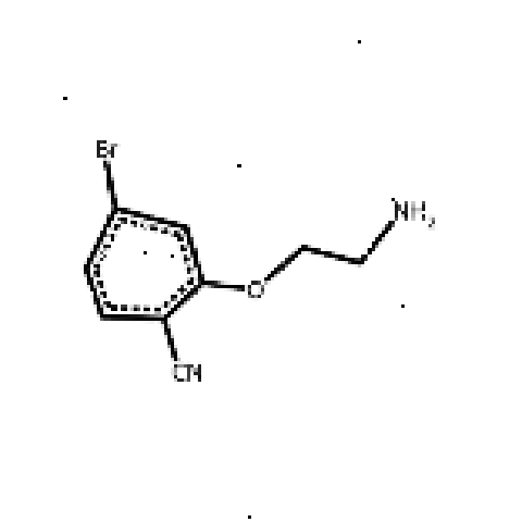 N#Cc1ccc(Br)cc1OCCN